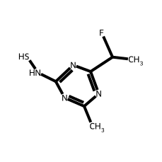 Cc1nc(NS)nc(C(C)F)n1